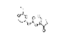 CCC(=O)OC(CC)OC(=O)ON1C(=O)CCC1=O